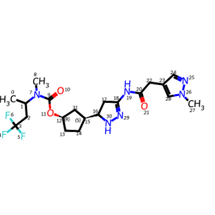 CC(CC(F)(F)F)N(C)C(=O)O[C@@H]1CC[C@H](C2CC(NC(=O)Cc3cnn(C)c3)=NN2)C1